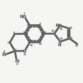 CCC1(CC)CCc2c(O)cc(C3NC=C(C)N3)cc2O1